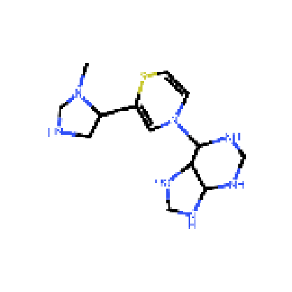 CN1CNCC1C1=CN(C2NCNC3NCNC32)C=CS1